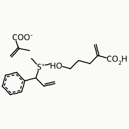 C=C(C)C(=O)[O-].C=C(CCCO)C(=O)O.C=CC(c1ccccc1)[S+](C)C